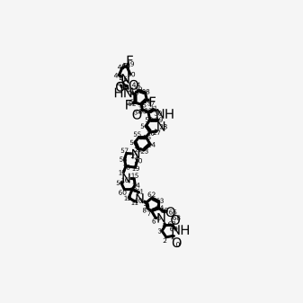 O=C1CCC(N2Cc3cc(N4CCC5(CCN(CC6CCN(c7ccc(-c8cnc9[nH]cc(C(=O)c%10c(F)ccc(NS(=O)(=O)N%11CC[C@@H](F)C%11)c%10F)c9c8)cc7)CC6)CC5)C4)ccc3C2=O)C(=O)N1